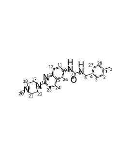 Cc1ccc(CNC(=O)Nc2ccc3nc(N4CCN(C)CC4)ccc3c2)cc1